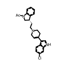 CC(=O)N1C[C@@H](CCN2CC=C(c3c[nH]c4cc(Cl)ccc34)CC2)c2ccccc21